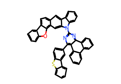 c1ccc2c(c1)oc1c3cc4c(cc3ccc21)c1ccccc1n4-c1nc(-c2ccc3sc4ccccc4c3c2)c2c3ccccc3c3ccccc3c2n1